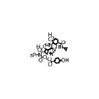 CCCN(C(=O)OCOC(=O)c1ccc(O)cc1)C(=O)c1cn2ncnc(Nc3cc(C(=O)NC4CC4)ccc3C)c2c1C